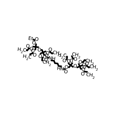 C=CC(=O)OCC(COCC(COC(=O)C=C)(COC(=O)C=C)COC(=O)NCCCCCCNC(=O)OCC(COCC(COC(=O)C=C)(COC(=O)C=C)COC(=O)CC)(COC(=O)C=C)COC(=O)C=C)(COC(=O)C=C)COC(=O)C=C